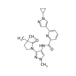 Cn1cc(NC(=O)c2cccc(-c3cnn(C4CC4)c3)n2)c(N2CCC(C)(C)C2=O)n1